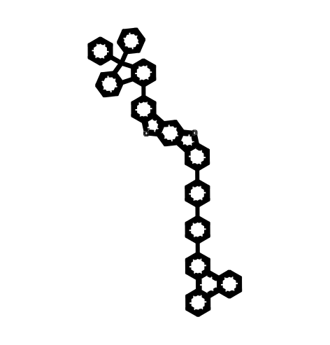 c1ccc(C2(c3ccccc3)c3ccccc3-c3c(-c4ccc5oc6cc7c(cc6c5c4)oc4ccc(-c5ccc(-c6ccc(-c8ccc9c%10ccccc%10c%10ccccc%10c9c8)cc6)cc5)cc47)cccc32)cc1